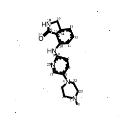 CN1CCN(c2ccc(Nc3cccc4c3C(=O)NC4)nc2)CC1